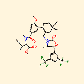 COC(=O)[C@@H](C(C)C)N(C)C(=O)c1ccc(OC)c(C2=C(CN3C(=O)O[C@H](c4cc(C(F)(F)F)cc(C(F)(F)F)c4)[C@@H]3C)CC(C)(C)CC2)c1